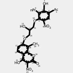 CCCc1c(O)c(C(C)=O)cc([N+](=O)[O-])c1OCC(O)COc1ccc2c(O)c([N+](=O)[O-])c(=O)oc2c1C